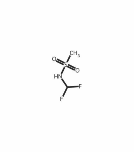 CS(=O)(=O)NC(F)F